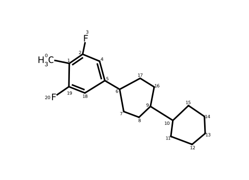 Cc1c(F)cc(C2CCC(C3CCCCC3)CC2)cc1F